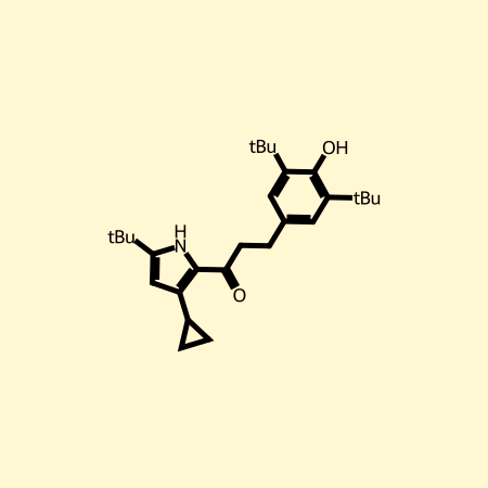 CC(C)(C)c1cc(C2CC2)c(C(=O)CCc2cc(C(C)(C)C)c(O)c(C(C)(C)C)c2)[nH]1